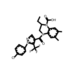 CCC1CN(C(=O)c2cnn(-c3ccc(Cl)cc3)c2C(F)(F)F)c2cc(C)c(C)cc2N1C(=O)O